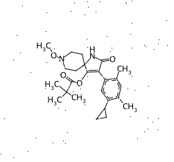 CON1CCC2(CC1)NC(=O)C(c1cc(C3CC3)c(C)cc1C)=C2OC(=O)C(C)(C)C